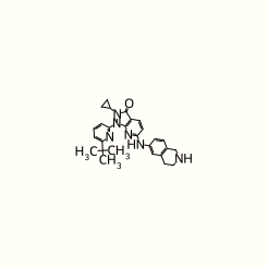 CC(C)(C)c1cccc(-n2c3nc(Nc4ccc5c(c4)CCNC5)ccc3c(=O)n2C2CC2)n1